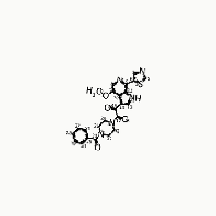 COc1cnc(-c2cncs2)c2[nH]cc(C(=O)C(=O)N3CCN(C(=O)c4ccccc4)CC3)c12